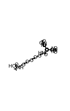 CC(C)[C@H](NCCCOCCOCCOCCOCCOCCNC(=O)c1cc(-c2cnc(S(C)(=O)=O)nc2)cc(-c2cnc(S(C)(=O)=O)nc2)c1)C(=O)O